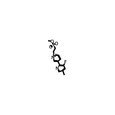 COS(=O)(=O)CC[n+]1ccc(-c2ncc(C)cc2F)cn1